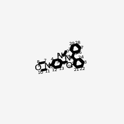 Cc1nc2cc(N3CCOCC3)ccc2c(=O)n1C(c1ccccc1)c1ccccc1